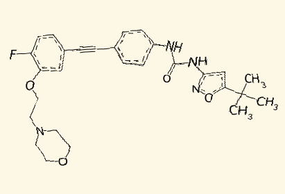 CC(C)(C)c1cc(NC(=O)Nc2ccc(C#Cc3ccc(F)c(OCCN4CCOCC4)c3)cc2)no1